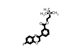 CS(C)(C)CCOC(=O)c1cccc(C2=Nc3ccc(F)cc3OC2)c1